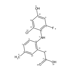 Cc1ccc(Nc2c(F)cc(O)cc2Cl)c(CC(=O)O)c1